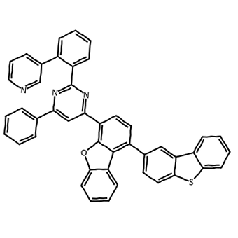 c1ccc(-c2cc(-c3ccc(-c4ccc5sc6ccccc6c5c4)c4c3oc3ccccc34)nc(-c3ccccc3-c3cccnc3)n2)cc1